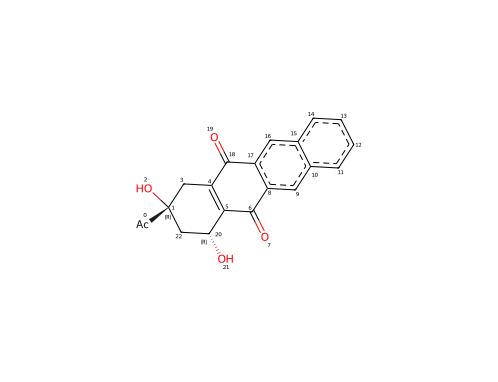 CC(=O)[C@@]1(O)CC2=C(C(=O)c3cc4ccccc4cc3C2=O)[C@H](O)C1